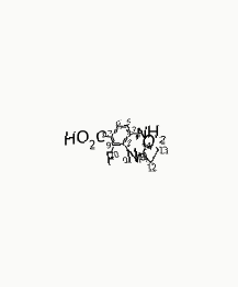 CN(c1c(N)ccc(C(=O)O)c1F)[C@@H]1CCO1